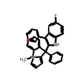 COc1ccccc1C(c1ccccc1)(c1ccc[nH]1)c1[nH]c2ccc(F)cc2c1-c1ccccc1